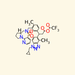 Cc1ccc(C(CC(=O)OC(=O)C(F)(F)F)c2ccc3c(nnn3CC3CC3)c2C)cc1CN1C[C@H]2CCCN2c2ncccc2S1(=O)=O